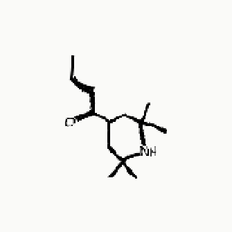 C/C=C/C(=O)C1CC(C)(C)NC(C)(C)C1